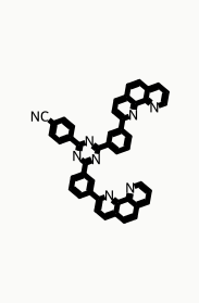 N#Cc1ccc(-c2nc(-c3cccc(-c4ccc5ccc6cccnc6c5n4)c3)nc(-c3cccc(-c4ccc5ccc6cccnc6c5n4)c3)n2)cc1